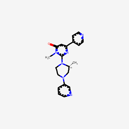 C[C@@H]1CN(c2cccnc2)CCN1c1nc(-c2ccncc2)cc(=O)n1C